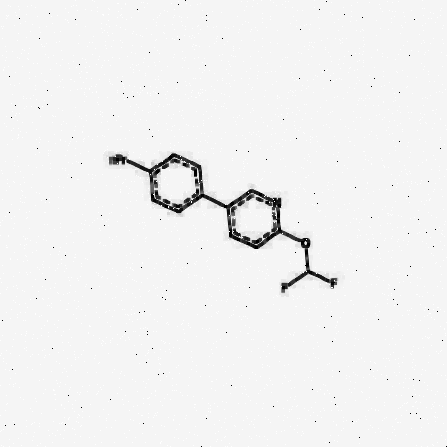 CCCc1ccc(-c2ccc(OC(F)F)nc2)cc1